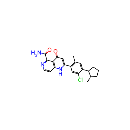 Cc1cc(C2CCC[C@H]2C)c(Cl)cc1-c1cc(=O)c2c(C(N)=O)nccc2[nH]1